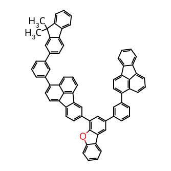 CC1(C)c2ccccc2-c2ccc(-c3cccc(-c4ccc5c6c(cccc46)-c4cc(-c6cc(-c7cccc(-c8ccc9c%10c(cccc8%10)-c8ccccc8-9)c7)cc7c6oc6ccccc67)ccc4-5)c3)cc21